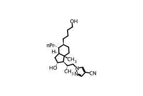 CCC[C@@H]1[C@@H](CCCCO)CC[C@]2(C)[C@@H]([C@@H](C)Cn3cc(C#N)cn3)[C@H](O)C[C@@H]12